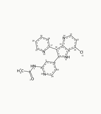 CC(=O)Nc1cc(-c2[nH]c3c(Cl)ccnc3c2-c2ccccn2)ccn1